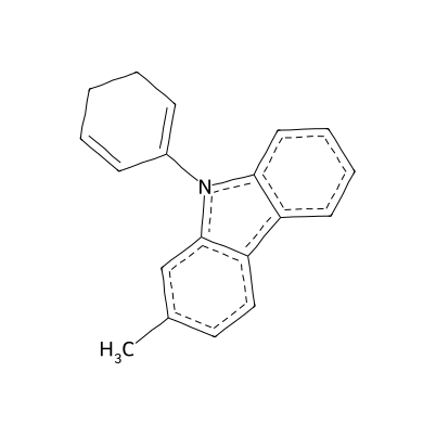 Cc1ccc2c3ccccc3n(C3=CCCC=C3)c2c1